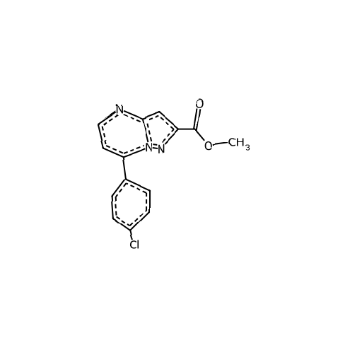 COC(=O)c1cc2nccc(-c3ccc(Cl)cc3)n2n1